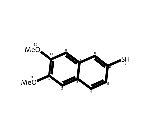 COc1cc2ccc(S)cc2cc1OC